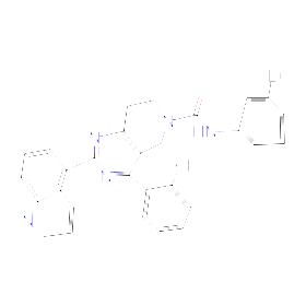 CCc1cccc(NC(=O)N2CCc3nc(-c4cccc5ncccc45)nc(-c4ccccc4C)c3C2)c1